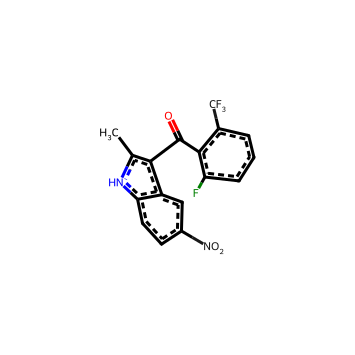 Cc1[nH]c2ccc([N+](=O)[O-])cc2c1C(=O)c1c(F)cccc1C(F)(F)F